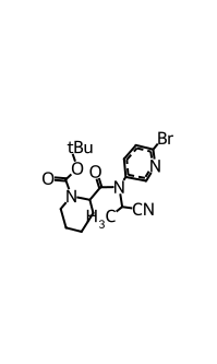 CC(C#N)N(C(=O)C1CCCCN1C(=O)OC(C)(C)C)c1ccc(Br)nc1